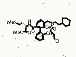 COC(=O)[C@H](CCSC)NC(=O)c1ccc(CN(CCC2CCCCC2)S(=O)(=O)CCCCl)cc1-c1ccccc1C